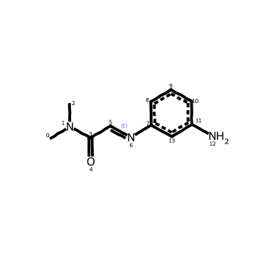 CN(C)C(=O)/C=N/c1cccc(N)c1